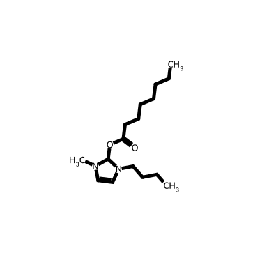 CCCCCCCC(=O)OC1N(C)C=CN1CCCC